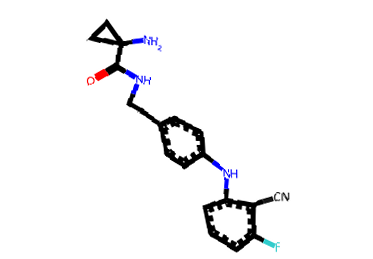 N#Cc1c(F)cccc1Nc1ccc(CNC(=O)C2(N)CC2)cc1